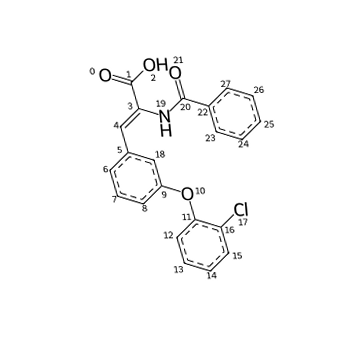 O=C(O)C(=Cc1cccc(Oc2ccccc2Cl)c1)NC(=O)c1ccccc1